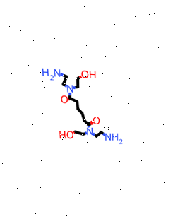 NCCN(CCO)C(=O)CCCCC(=O)N(CCN)CCO